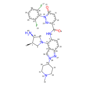 C[C@@H]1CN(c2c(NC(=O)c3ccc(=O)n(-c4c(F)cccc4F)n3)ccc3nn(C4CCN(C)CC4)cc23)C[C@@H]1N